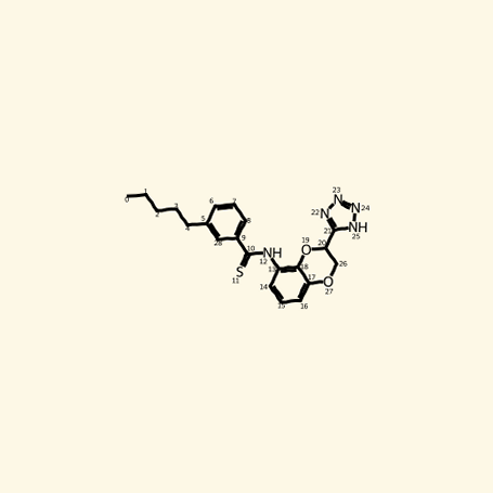 CCCCCc1cccc(C(=S)Nc2cccc3c2OC(c2nnn[nH]2)CO3)c1